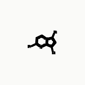 CCc1cc(CC)n2ccc(C(C)C)nc12